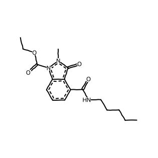 CCCCCNC(=O)c1cccc2c1c(=O)n(C)n2C(=O)OCC